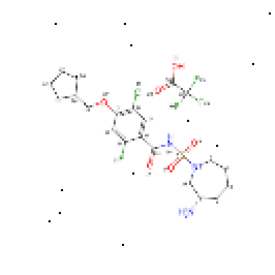 N[C@H]1CCCCN(S(=O)(=O)NC(=O)c2cc(Cl)c(OCC3CCCC3)cc2F)C1.O=C(O)C(F)(F)F